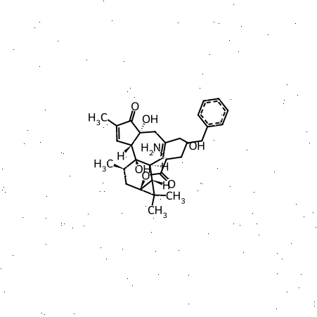 CC1=C[C@H]2[C@@]3(O)[C@H](C)C[C@]4(OC(=O)[C@H](N)CCCc5ccccc5)[C@H]([C@@H]3C=C(CO)C[C@]2(O)C1=O)C4(C)C